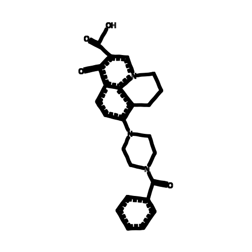 O=C(O)c1cn2c3c(c(N4CCN(C(=O)c5ccccc5)CC4)ccc3c1=O)CCC2